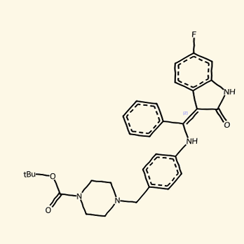 CC(C)(C)OC(=O)N1CCN(Cc2ccc(N/C(=C3\C(=O)Nc4cc(F)ccc43)c3ccccc3)cc2)CC1